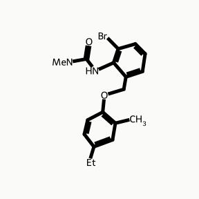 CCc1ccc(OCc2cccc(Br)c2NC(=O)NC)c(C)c1